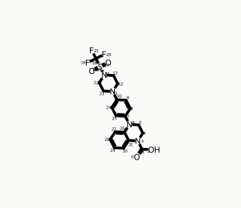 O=C(O)N1CCN(c2ccc(N3CCN(S(=O)(=O)C(F)(F)F)CC3)cc2)c2ccccc21